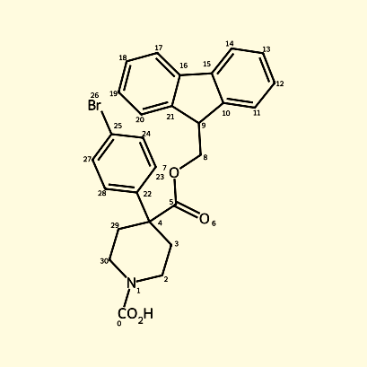 O=C(O)N1CCC(C(=O)OCC2c3ccccc3-c3ccccc32)(c2ccc(Br)cc2)CC1